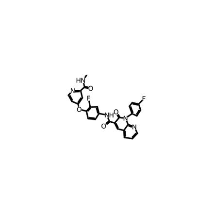 CNC(=O)c1cc(Oc2ccc(NC(=O)c3cc4cccnc4n(-c4ccc(F)cc4)c3=O)cc2F)ccn1